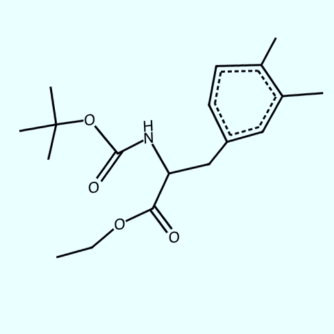 CCOC(=O)C(Cc1ccc(C)c(C)c1)NC(=O)OC(C)(C)C